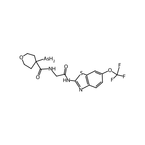 O=C(CNC(=O)C1([AsH2])CCOCC1)Nc1nc2ccc(OC(F)(F)F)cc2s1